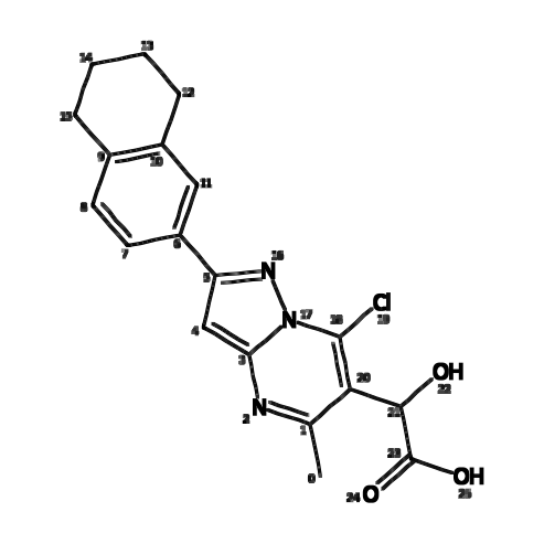 Cc1nc2cc(-c3ccc4c(c3)CCCC4)nn2c(Cl)c1C(O)C(=O)O